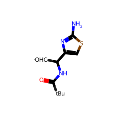 CC(C)(C)C(=O)NC([C]=O)c1csc(N)n1